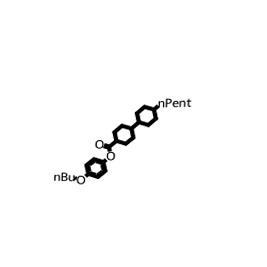 CCCCCC1CCC(C2CCC(C(=O)Oc3ccc(OCCCC)cc3)CC2)CC1